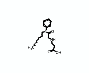 CCCCCCN(C(=O)CNCCC(=O)O)c1ccccc1